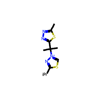 Cc1nnc(C(C)(C)[n+]2csc(C(C)C)n2)s1